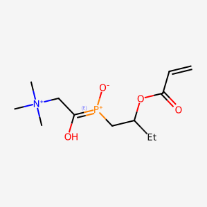 C=CC(=O)OC(CC)C/[P+]([O-])=C(\O)C[N+](C)(C)C